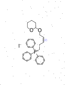 C(=C/COC1CCCCO1)/CC[P+](c1ccccc1)(c1ccccc1)c1ccccc1.[I-]